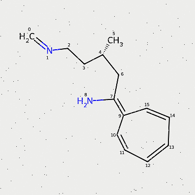 C=NCC[C@H](C)CC(N)=C1C=CC=CC=C1